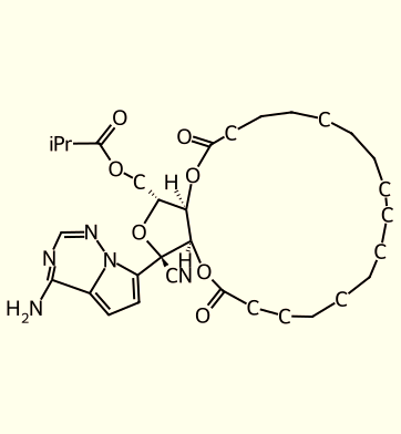 CC(C)C(=O)OC[C@H]1O[C@@](C#N)(c2ccc3c(N)ncnn23)[C@@H]2OC(=O)CCCCCCCCCCCCCCC(=O)O[C@@H]21